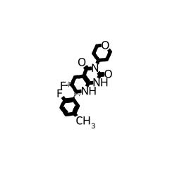 Cc1ccc(F)c([C@H]2Nc3[nH]c(=O)n(C4CCOCC4)c(=O)c3C[C@H]2F)c1